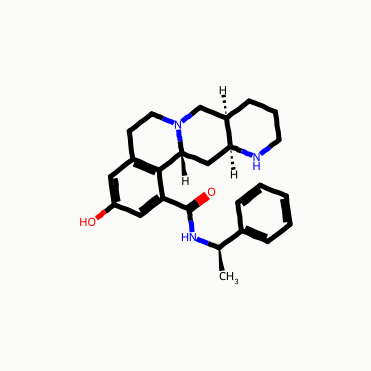 C[C@@H](NC(=O)c1cc(O)cc2c1[C@H]1C[C@@H]3NCCC[C@@H]3CN1CC2)c1ccccc1